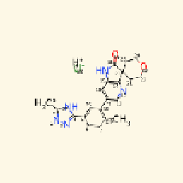 Cc1nnc(-c2ccc(C)c(-c3cnc4c(c3)NC(=O)C43CCOCC3)c2)[nH]1.[Cl-].[H+]